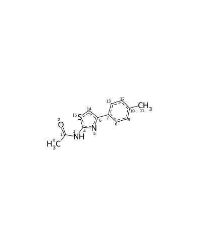 CC(=O)Nc1nc(-c2ccc(C)cc2)cs1